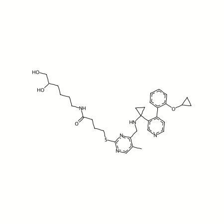 Cc1cnc(SCCCC(=O)NCCCCC(O)CO)nc1CNC1(c2cnccc2-c2ccccc2OC2CC2)CC1